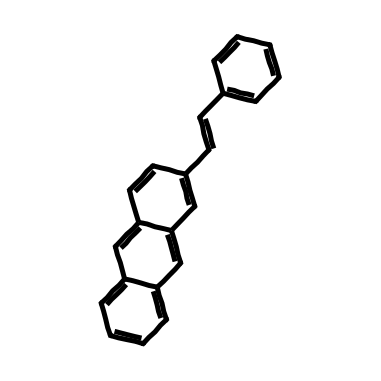 C(=C\c1ccc2cc3ccccc3cc2c1)/c1ccccc1